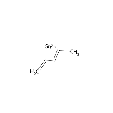 C=CC=CC.[Sn+2]